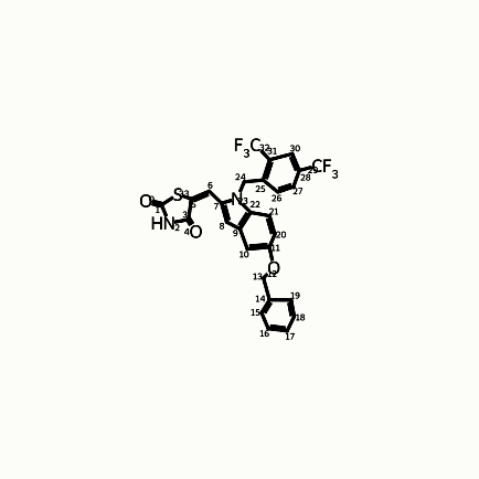 O=C1NC(=O)/C(=C\c2cc3cc(OCc4ccccc4)ccc3n2Cc2ccc(C(F)(F)F)cc2C(F)(F)F)S1